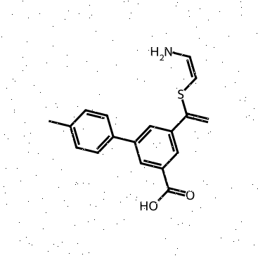 C=C(S/C=C\N)c1cc(C(=O)O)cc(-c2ccc(C)cc2)c1